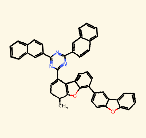 CC1CC=C(c2nc(-c3ccc4ccccc4c3)nc(-c3ccc4ccccc4c3)n2)c2c1oc1c(-c3ccc4oc5ccccc5c4c3)cccc21